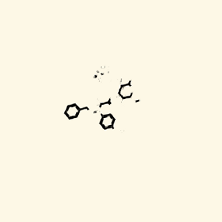 COP(N)(=O)O.COc1ccc(N(OCc2ccccc2)[C@@H](C)C(=O)O[C@H]2[C@H](O)[C@@H](CO)OC(O)[C@@H]2NC(C)=O)cc1